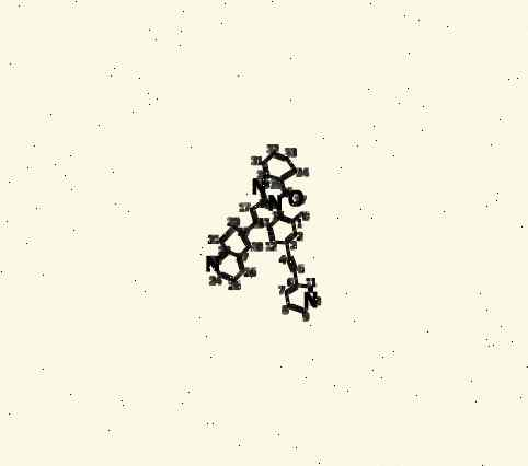 Cc1cc(C#Cc2cccnc2)ccc1-n1c(/C=C/c2ccc3ncccc3c2)nc2ccccc2c1=O